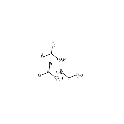 CCC(CC)C(=O)O.CCC(CC)C(=O)O.O=CCC=O